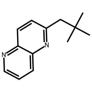 CC(C)(C)Cc1ccc2ncccc2n1